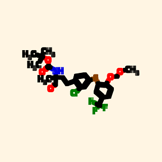 COCOc1ccc(C(F)(F)F)cc1Sc1ccc(CCC(C)(C=O)NC(=O)OC(C)(C)C)c(Cl)c1